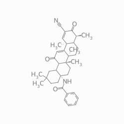 C[C@@H]1C(=O)C(C#N)=C[C@]2(C)C3=CC(=O)C4C5CC(C)(C)CC[C@]5(NC(=O)c5ccccc5)CC[C@@]4(C)[C@]3(C)CCC12